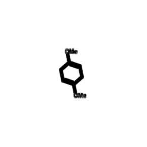 COC1=CCC(OC)=CC1